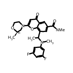 CNC(=O)c1cc(C(C)N(C)c2cc(F)cc(F)c2)c2oc(N3CCO[C@H](C)C3)cc(=O)c2c1